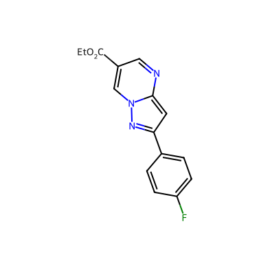 CCOC(=O)c1cnc2cc(-c3ccc(F)cc3)nn2c1